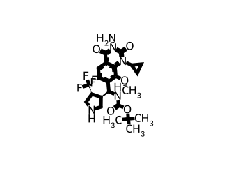 COc1c(C(NC(=O)OC(C)(C)C)[C@H]2CNC[C@@H]2C(F)(F)F)c(F)cc2c(=O)n(N)c(=O)n(C3CC3)c12